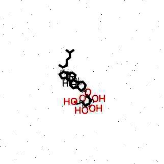 CC(C)CCCC(C)[C@H]1CC[C@H]2[C@@H]3CC=C4C[C@@H](O[C@@H]5O[C@H](CO)[C@@H](O)[C@H](O)[C@H]5O)CC[C@]4(C)[C@H]3CC[C@]12C